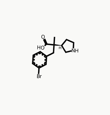 CC(Cc1cccc(Br)c1)(C(=O)O)[C@H]1CCNC1